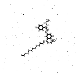 CCCCCCCCCCCCOC(=O)c1cc(N=NN(CCO)c2ccc(C)cc2)ccc1[N+](=O)[O-]